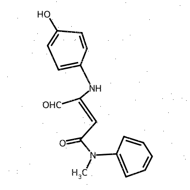 CN(C(=O)/C=C(\C=O)Nc1ccc(O)cc1)c1ccccc1